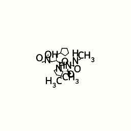 CCNC(=O)NC(=O)[C@H]1N(C(=O)[C@H](CC2CCCC2)CN(O)C=O)CCC1(C)C